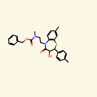 Cc1ccc(C2Sc3cc(C)ccc3N(CCN(C)C(=O)OCc3ccccc3)C(=O)C2O)cc1